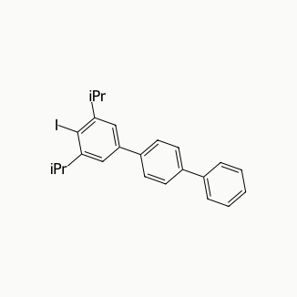 CC(C)c1cc(-c2ccc(-c3ccccc3)cc2)cc(C(C)C)c1I